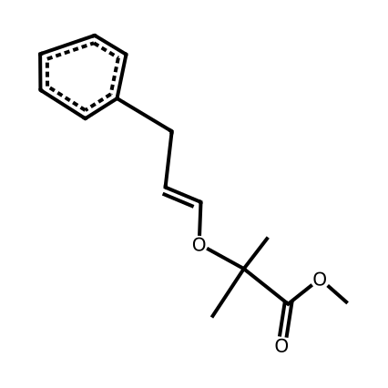 COC(=O)C(C)(C)OC=CCc1ccccc1